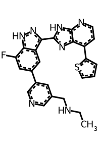 CCNCc1cncc(-c2cc(F)c3[nH]nc(-c4nc5c(-c6cccs6)ccnc5[nH]4)c3c2)c1